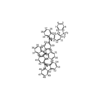 CC1(C)c2ccccc2-c2c1ccc1c2c2ccccc2n1-c1ccc([Si](c2ccccc2)(c2ccccc2)c2cccc(-n3c4ccccc4c4ccccc43)c2)cc1